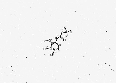 COc1c(NC(=O)OC(C)(C)C)ccc(F)c1Br